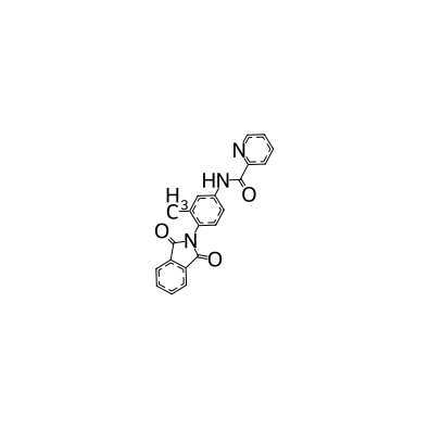 Cc1cc(NC(=O)c2ccccn2)ccc1N1C(=O)c2ccccc2C1=O